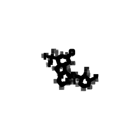 O=c1cc(C(F)(F)F)c2cn3cc[nH]c(Nc4cccc(F)c4F)c3c2c1